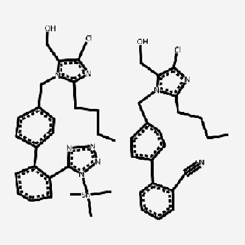 CCCCc1nc(Cl)c(CO)n1Cc1ccc(-c2ccccc2-c2nnn[n]2[Sn]([CH3])([CH3])[CH3])cc1.CCCCc1nc(Cl)c(CO)n1Cc1ccc(-c2ccccc2C#N)cc1